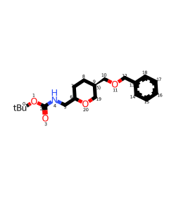 CC(C)(C)OC(=O)NCC1CC[C@@H](COCc2ccccc2)CO1